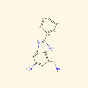 NSc1cc(N)cc2nc(-c3ccccc3)[nH]c12